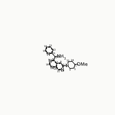 COC1CCN(c2cc3c(C(N)c4ccccn4)ncnc3cn2)CC1